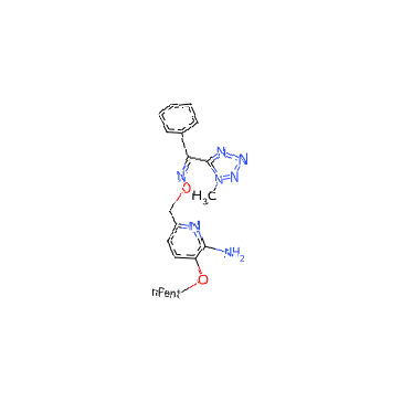 CCCCCOc1ccc(CO/N=C(/c2ccccc2)c2nnnn2C)nc1N